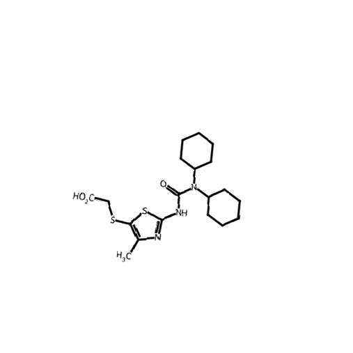 Cc1nc(NC(=O)N(C2CCCCC2)C2CCCCC2)sc1SCC(=O)O